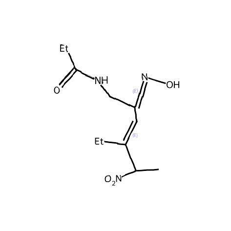 CCC(=O)NCC(/C=C(\CC)C(C)[N+](=O)[O-])=N/O